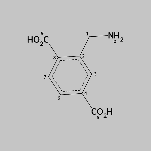 NCc1cc(C(=O)O)ccc1C(=O)O